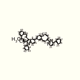 CC1(C)/C=C/c2c(c3cc(-c4ccc5scccc(-c6nccc(-c7ccccc7)n6)ccc5c4)ccc3n2-c2ccccc2)/C=C/c2ccccc21